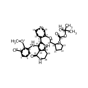 COc1c(Cl)cccc1Nc1c(-c2ccncc2OCC2CCCN2C(=O)OC(C)(C)C)[nH]c2c1C(=O)NCC2